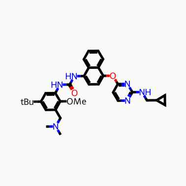 COc1c(CN(C)C)cc(C(C)(C)C)cc1NC(=O)Nc1ccc(Oc2ccnc(NCC3CC3)n2)c2ccccc12